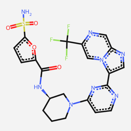 NS(=O)(=O)c1ccc(C(=O)N[C@@H]2CCCN(c3ccnc(-c4cnc5cnc(C(F)(F)F)cn45)n3)C2)o1